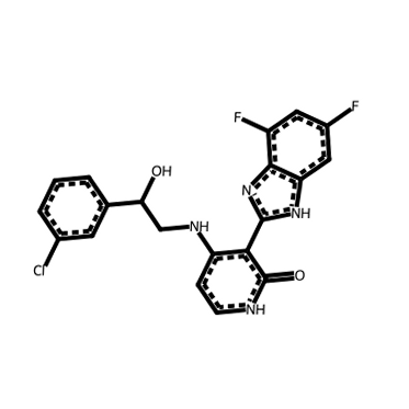 O=c1[nH]ccc(NCC(O)c2cccc(Cl)c2)c1-c1nc2c(F)cc(F)cc2[nH]1